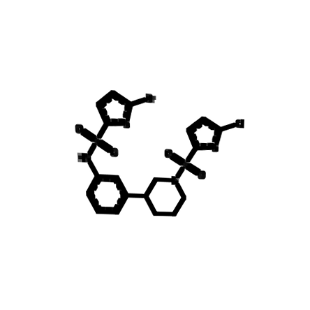 O=S(=O)(Nc1cccc(C2CCCN(S(=O)(=O)c3ccc(Cl)s3)C2)c1)c1ccc(Br)s1